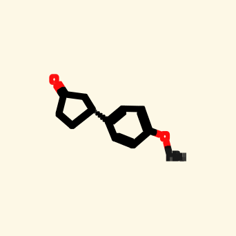 CCCCOc1ccc([C@@H]2CCC(=O)C2)cc1